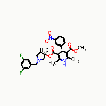 COC(=O)C1=C(C)NC(C)=C(C(=O)O[C@]2(C)CCN(Cc3cc(F)cc(F)c3)C2)[C@H]1c1cccc([N+](=O)[O-])c1